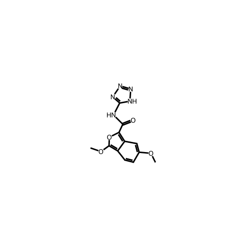 COc1ccc2c(OC)oc(C(=O)Nc3nnn[nH]3)c2c1